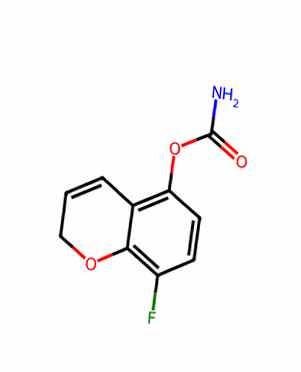 NC(=O)Oc1ccc(F)c2c1C=CCO2